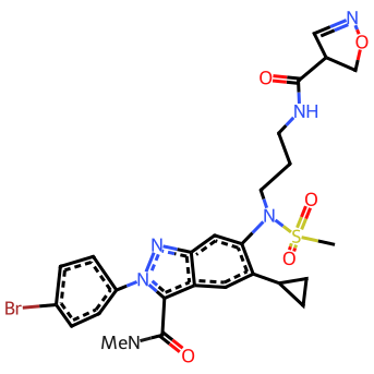 CNC(=O)c1c2cc(C3CC3)c(N(CCCNC(=O)C3C=NOC3)S(C)(=O)=O)cc2nn1-c1ccc(Br)cc1